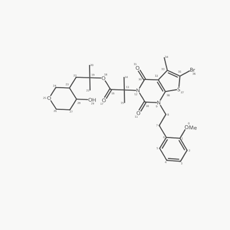 COc1ccccc1CCn1c(=O)n(C(C)(C)C(=O)OC(C)(C)CC2COCCC2O)c(=O)c2c(C)c(Br)sc21